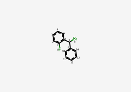 Fc1ccccc1C(Br)c1ccccc1